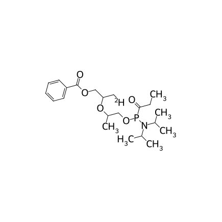 [2H]CC(COC(=O)c1ccccc1)OC(C)COP(C(=O)CC)N(C(C)C)C(C)C